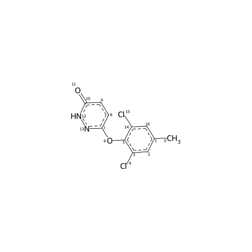 Cc1cc(Cl)c(Oc2ccc(=O)[nH]n2)c(Cl)c1